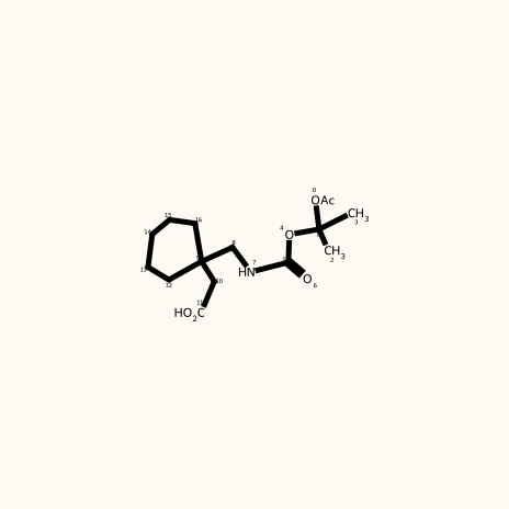 CC(=O)OC(C)(C)OC(=O)NCC1(CC(=O)O)CCCCC1